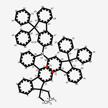 CCC1(CC)c2ccccc2-c2c(-c3ccccc3N(c3ccc4c(c3)C(c3ccccc3)(c3ccccc3)c3ccccc3-4)c3ccc4c(c3)C(c3ccccc3)(c3ccccc3)c3ccccc3-4)cccc21